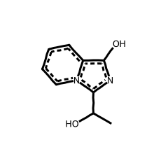 CC(O)c1nc(O)c2ccccn12